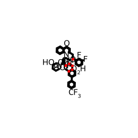 O=C(O)C(O)C(O)(C(=O)O)N(Cc1ccc(-c2ccc(C(F)(F)F)cc2)cc1)C(=O)C(CC(N1CCCCC1)N1CCCCC1)n1c(CCc2cccc(F)c2F)cc(=O)c2ccccc21